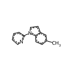 Cc1ccc2c(ccn2-c2ccccn2)c1